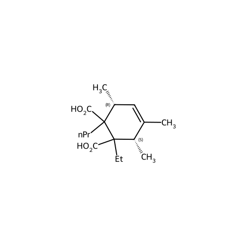 CCCC1(C(=O)O)[C@H](C)C=C(C)[C@H](C)C1(CC)C(=O)O